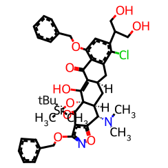 CN(C)[C@@H]1c2onc(OCc3ccccc3)c2C(=O)[C@@]2(O[Si](C)(C)C(C)(C)C)C(O)=C3C(=O)c4c(OCc5ccccc5)cc(C(CO)CO)c(Cl)c4C[C@H]3C[C@@H]12